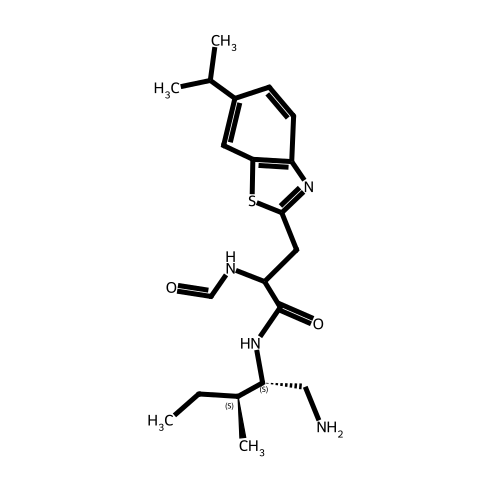 CC[C@H](C)[C@@H](CN)NC(=O)C(Cc1nc2ccc(C(C)C)cc2s1)NC=O